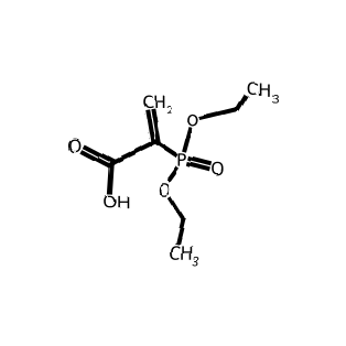 C=C(C(=O)O)P(=O)(OCC)OCC